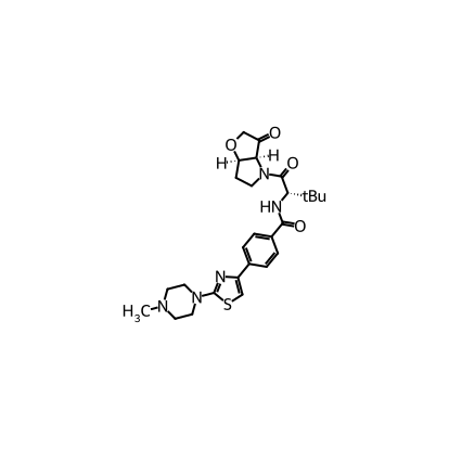 CN1CCN(c2nc(-c3ccc(C(=O)N[C@H](C(=O)N4CC[C@H]5OCC(=O)[C@H]54)C(C)(C)C)cc3)cs2)CC1